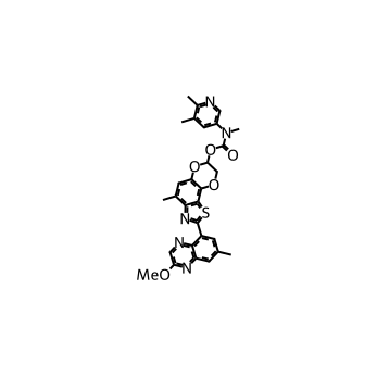 COc1cnc2c(-c3nc4c(C)cc5c(c4s3)OCC(OC(=O)N(C)c3cnc(C)c(C)c3)O5)cc(C)cc2n1